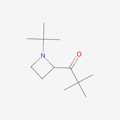 CC(C)(C)C(=O)C1CCN1C(C)(C)C